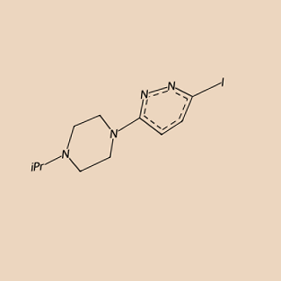 CC(C)N1CCN(c2ccc(I)nn2)CC1